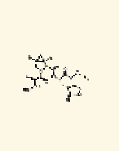 CC(C)(C)NC(=O)C(=O)N1C[C@@H]2C[C@@H]2[C@H]1C(=O)N[C@@H](C[C@@H]1CCNC1=O)C(=O)COC(F)(F)F